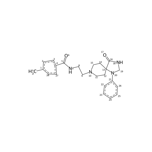 Cc1ccc(C(=O)NCCN2CCC3(CC2)C(=O)NCN3c2ccccc2)cc1